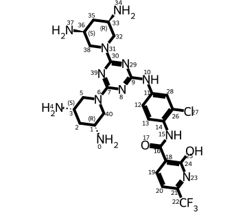 N[C@@H]1C[C@H](N)CN(c2nc(Nc3ccc(NC(=O)c4ccc(C(F)(F)F)nc4O)c(Cl)c3)nc(N3C[C@H](N)C[C@H](N)C3)n2)C1